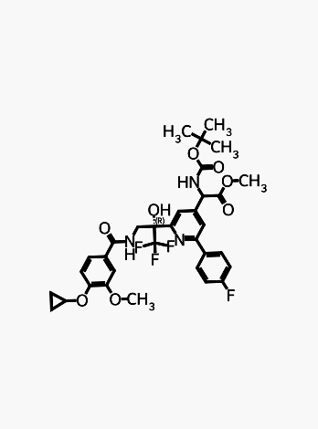 COC(=O)C(NC(=O)OC(C)(C)C)c1cc(-c2ccc(F)cc2)nc([C@](O)(CNC(=O)c2ccc(OC3CC3)c(OC)c2)C(F)(F)F)c1